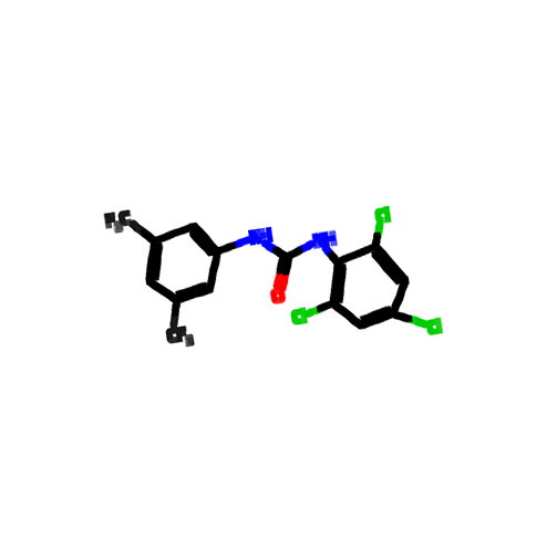 O=C(Nc1cc(C(F)(F)F)cc(C(F)(F)F)c1)Nc1c(Cl)cc(Cl)cc1Cl